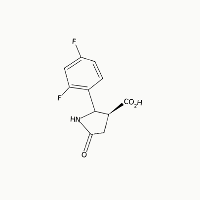 O=C1C[C@H](C(=O)O)C(c2ccc(F)cc2F)N1